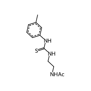 CC(=O)NCCNC(=S)Nc1cccc(C)c1